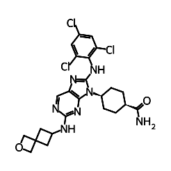 NC(=O)[C@H]1CC[C@@H](n2c(Nc3c(Cl)cc(Cl)cc3Cl)nc3cnc(NC4CC5(COC5)C4)nc32)CC1